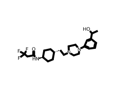 CC(O)c1cccc(N2CCN(CC[C@H]3CC[C@H](NC(=O)CC(F)(F)F)CC3)CC2)c1